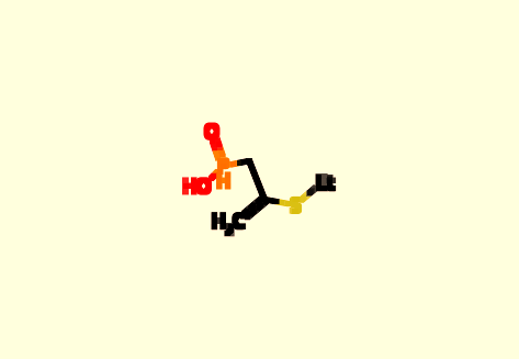 C=C(C[PH](=O)O)SCC